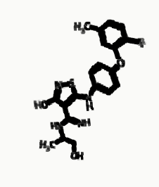 Cc1ccc(F)c(Oc2ccc(Nc3snc(O)c3C(=N)NC(C)CO)cc2)c1